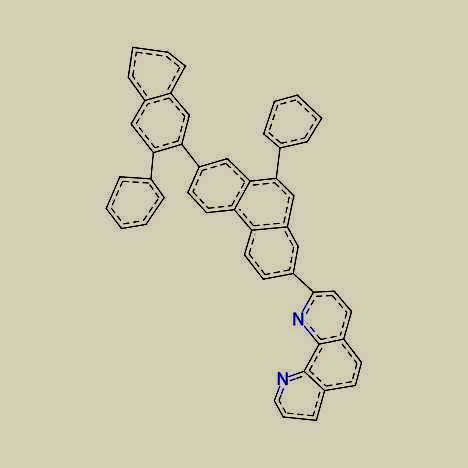 c1ccc(-c2cc3ccccc3cc2-c2ccc3c(c2)c(-c2ccccc2)cc2cc(-c4ccc5ccc6cccnc6c5n4)ccc23)cc1